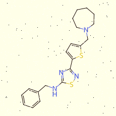 c1ccc(CNc2nc(-c3ccc(CN4CCCCCC4)s3)ns2)cc1